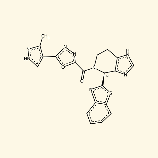 Cc1n[nH]cc1-c1nnc(C(=O)N2CCc3[nH]cnc3[C@H]2c2nc3ccccc3s2)o1